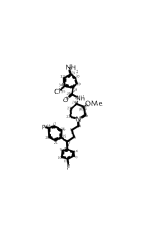 CO[C@@H]1CN(CCCC(c2ccc(F)cc2)c2ccc(F)cc2)CC[C@@H]1NC(=O)c1ccc(N)cc1Cl